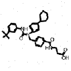 CC(C)(C)c1cccc(NC(=O)N(Cc2ccc(C(=O)NCCC(=O)O)cc2)c2ccc(C3CCCCC3)cc2)c1